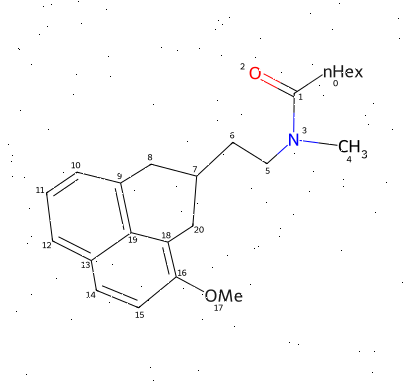 CCCCCCC(=O)N(C)CCC1Cc2cccc3ccc(OC)c(c23)C1